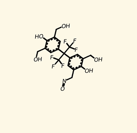 O=NCc1cc(C(c2cc(CO)c(O)c(CO)c2)(C(F)(F)F)C(F)(F)F)cc(CO)c1O